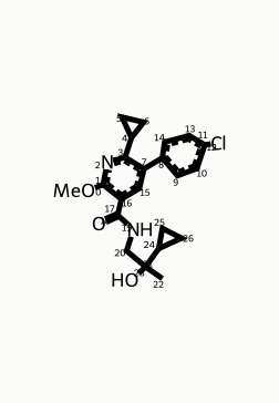 COc1nc(C2CC2)c(-c2ccc(Cl)cc2)cc1C(=O)NCC(C)(O)C1CC1